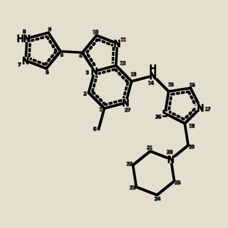 Cc1cn2c(-c3cn[nH]c3)cnc2c(Nc2cnc(CN3CCCCC3)s2)n1